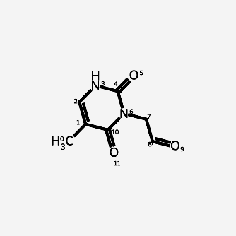 Cc1c[nH]c(=O)n(C[C]=O)c1=O